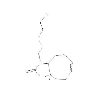 O=C1O[C@H]2CC/C=C\CCC2N1CCOCCO